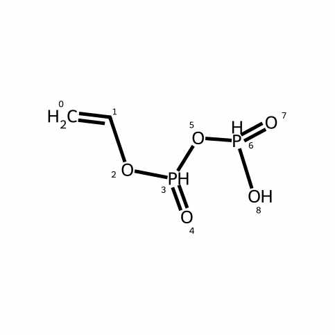 C=CO[PH](=O)O[PH](=O)O